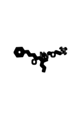 CCCc1cn(COCC[Si](C)(C)C)nc1C(=O)CCCc1ccccc1